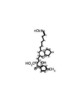 CCCCCCCC/C=C\CCCCCCC[C@H](C[C@H](O)[C@@H](C(=O)O)[S+]([O-])c1ccc(C)cc1)OC1CCCCO1